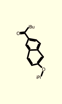 CCC(C)C(=O)c1ccc2cc(OC(C)C)ccc2c1